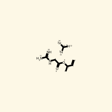 C=CC(C)OC(=O)CNC(=N)N.[2H]C([2H])[2H]